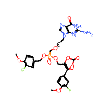 COc1ccc(COP(=O)(COCCn2cnc3c(=O)[nH]c(N)nc32)OCc2oc(=O)oc2-c2ccc(OC)c(F)c2)cc1F